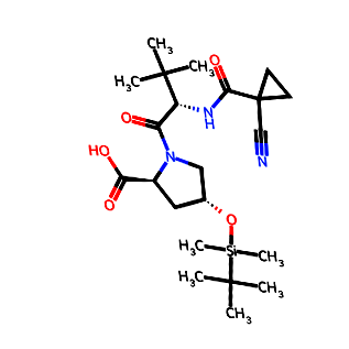 CC(C)(C)[C@H](NC(=O)C1(C#N)CC1)C(=O)N1C[C@H](O[Si](C)(C)C(C)(C)C)C[C@H]1C(=O)O